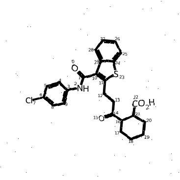 O=C(Nc1ccc(Cl)cc1)c1c(CCC(=O)C2CCCCC2C(=O)O)sc2ccccc12